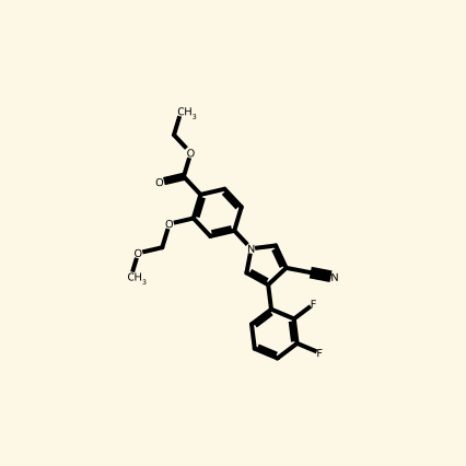 CCOC(=O)c1ccc(-n2cc(C#N)c(-c3cccc(F)c3F)c2)cc1OCOC